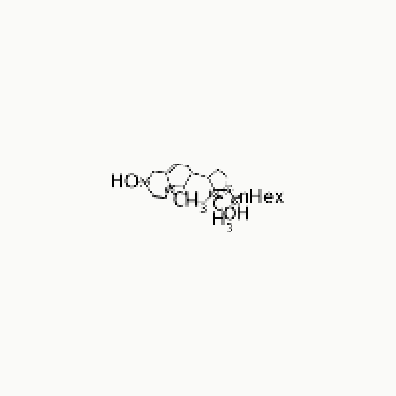 CCCCCC[C@H](O)[C@H]1CCC2C3CC=C4C[C@@H](O)CC[C@]4(C)C3CC[C@@]21C